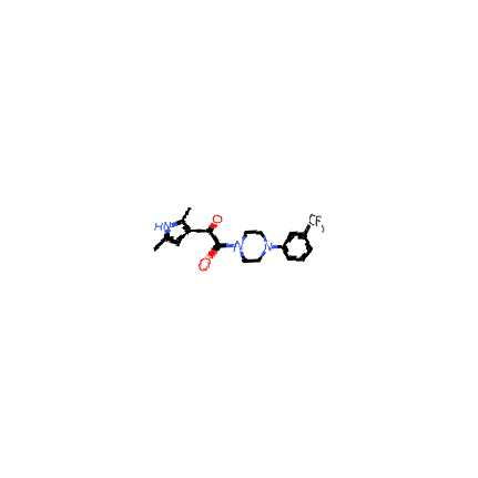 Cc1cc(C(=O)C(=O)N2CCN(c3cccc(C(F)(F)F)c3)CC2)c(C)[nH]1